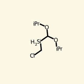 CC(C)OC(OC(C)C)[SiH2]CCl